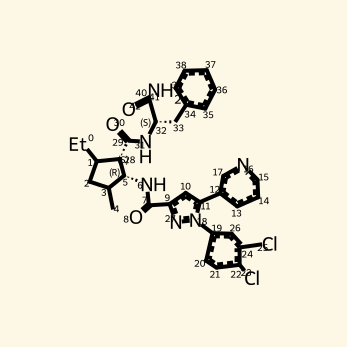 CCC1CC(C)[C@@H](NC(=O)c2cc(-c3cccnc3)n(-c3ccc(Cl)c(Cl)c3)n2)[C@H]1C(=O)N[C@@H](Cc1ccccc1)C(N)=O